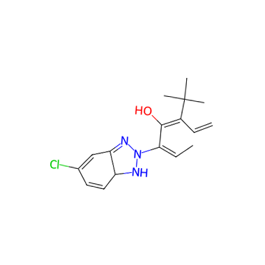 C=C/C(=C(O)\C(=C/C)N1N=C2C=C(Cl)C=CC2N1)C(C)(C)C